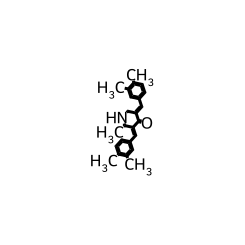 Cc1ccc(/C=C2\CNC(C)/C(=C\c3ccc(C)c(C)c3)C2=O)cc1C